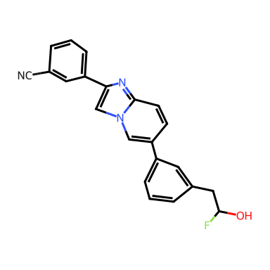 N#Cc1cccc(-c2cn3cc(-c4cccc(CC(O)F)c4)ccc3n2)c1